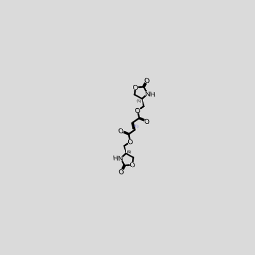 O=C(/C=C/C(=O)OC[C@H]1COC(=O)N1)OC[C@H]1COC(=O)N1